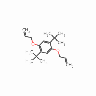 C=CCOc1cc(C(C)(C)C)c(OCC=C)cc1C(C)(C)C